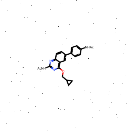 CC(=O)Nc1ccc(-c2ccc3nc(NC(C)=O)nc(OCC4CC4)c3c2)cc1